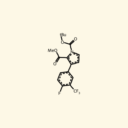 COC(=O)c1c(-c2ccc(F)c(C(F)(F)F)c2)ccn1C(=O)OC(C)(C)C